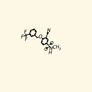 CNS(=O)(=O)c1ccc(OCc2cccc(C(F)(F)F)c2)c(C#N)c1